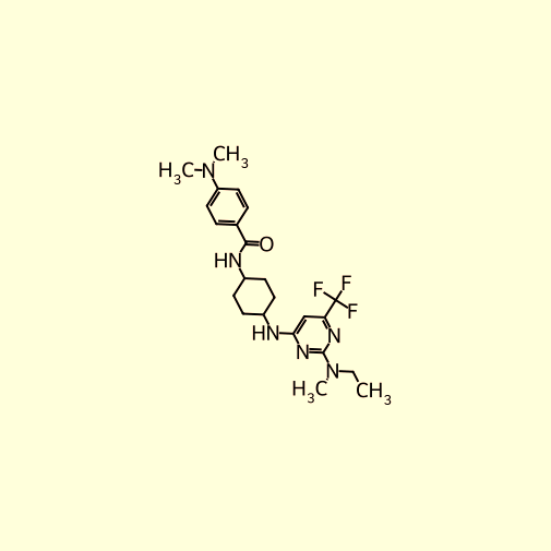 CCN(C)c1nc(NC2CCC(NC(=O)c3ccc(N(C)C)cc3)CC2)cc(C(F)(F)F)n1